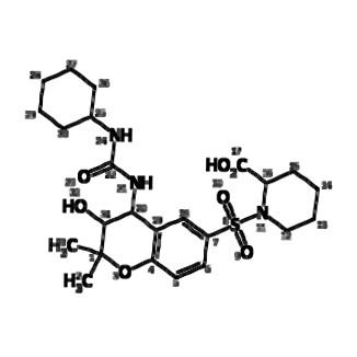 CC1(C)Oc2ccc(S(=O)(=O)N3CCCCC3C(=O)O)cc2C(NC(=O)NC2CCCCC2)C1O